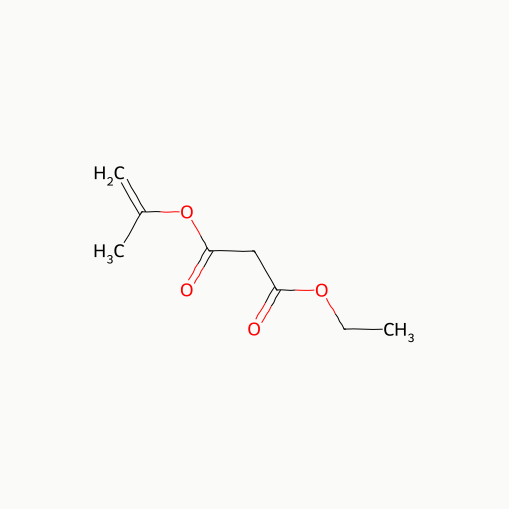 C=C(C)OC(=O)CC(=O)OCC